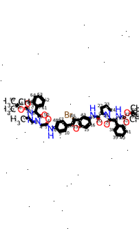 CCCN(CC(=O)Nc1ccc(-c2oc3ccc(NC(=O)[C@@H]4CCCN4C(=O)[C@@H](NC(=O)OC(C)(C)C)c4ccccc4)cc3c2Br)cc1)C(=O)[C@@H](NC(=O)OC(C)(C)C)c1ccccc1